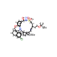 CO[C@H]1/C=C/[C@H](CCO[Si](C)(C)C(C)(C)C)C[C@@H](C)S(=O)(=O)NC(=O)c2ccc3c(c2)N(C[C@@H]2CC[C@H]21)C[C@@]1(CCCc2cc(Cl)ccc21)CO3